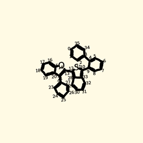 c1ccc(-c2ccccc2-c2sc(-c3oc4ccccc4c3-c3ccccc3)c3ccccc23)cc1